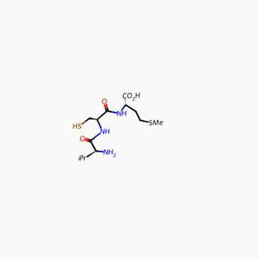 CSCC[C@H](NC(=O)[C@H](CS)NC(=O)[C@@H](N)C(C)C)C(=O)O